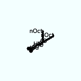 CCCCCCCC/C=C\CCCCCCCCOCC(COC(=O)NCCOCCOCCO[Si](c1ccccc1)(c1ccccc1)C(C)(C)C)OCCCCCCCC/C=C\CCCCCCCC